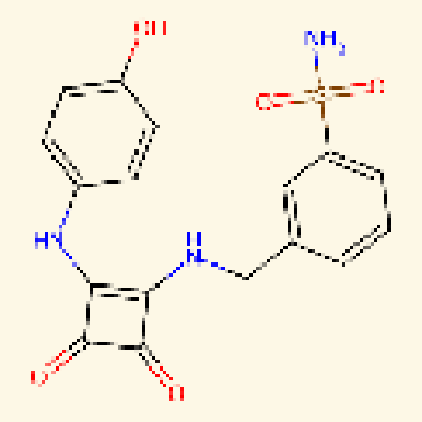 NS(=O)(=O)c1cccc(CNc2c(Nc3ccc(O)cc3)c(=O)c2=O)c1